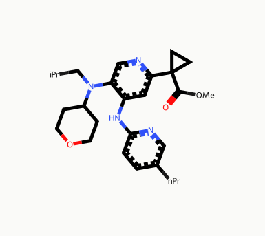 CCCc1ccc(Nc2cc(C3(C(=O)OC)CC3)ncc2N(CC(C)C)C2CCOCC2)nc1